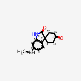 CBc1ccc2c(c1)NC(=O)C21CCC(=O)CC1